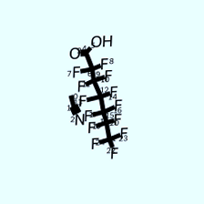 CC#N.O=C(O)C(F)(F)C(F)(F)C(F)(F)C(F)(F)C(F)(F)C(F)(F)F